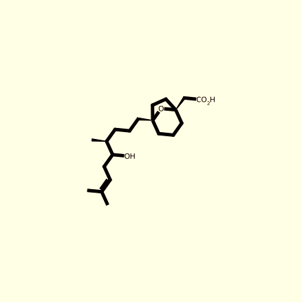 CC(C)=CCC(O)[C@@H](C)CCC[C@@]12CCC[C@@](CC(=O)O)(CC1)O2